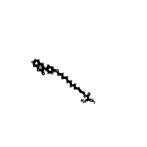 C=C(C)C(=O)OCCCCCCCCCCCCOc1ccc(-c2cc3cccnc3oc2=O)cc1